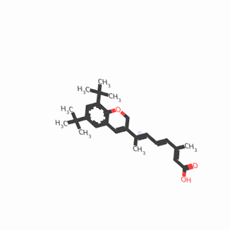 CC(C=C/C=C(\C)C1=Cc2cc(C(C)(C)C)cc(C(C)(C)C)c2OC1)=CC(=O)O